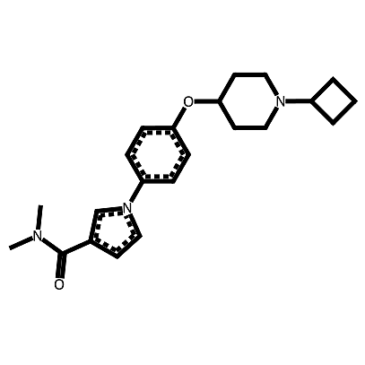 CN(C)C(=O)c1ccn(-c2ccc(OC3CCN(C4CCC4)CC3)cc2)c1